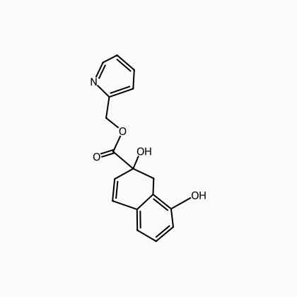 O=C(OCc1ccccn1)C1(O)C=Cc2cccc(O)c2C1